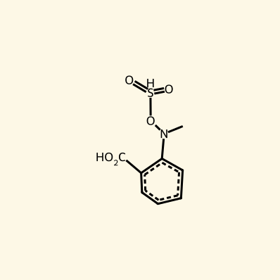 CN(O[SH](=O)=O)c1ccccc1C(=O)O